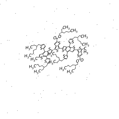 CCCCC(CC)COC(=O)c1cc2c(C)sc(-c3cc4c(-c5ccc(CC(CC)CCCC)s5)c5sc(-c6sc(-c7cc8c(-c9ccc(CC(CC)CCCC)s9)c9sc(C)cc9c(-c9ccc(CC(CC)CCCC)s9)c8s7)c7cc(C(=O)OCC(CC)CCCC)sc67)cc5c(-c5ccc(CC(CC)CCCC)s5)c4s3)c2s1